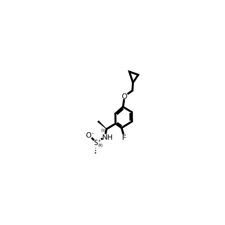 C[C@H](N[S@+](C)[O-])c1cc(OCC2CC2)ccc1F